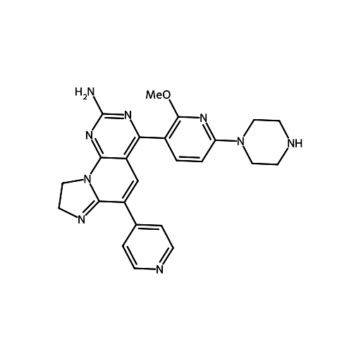 COc1nc(N2CCNCC2)ccc1-c1nc(N)nc2c1C=C(c1ccncc1)C1=NCCN12